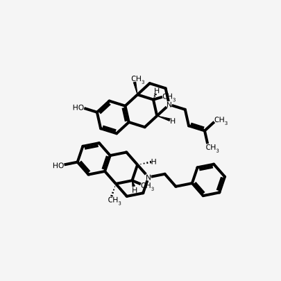 CC(C)=CCN1CC[C@@]2(C)c3cc(O)ccc3C[C@@H]1[C@@H]2C.C[C@H]1[C@H]2Cc3ccc(O)cc3[C@]1(C)CCN2CCc1ccccc1